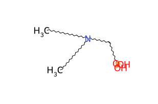 CCCCCCCCCCCCCCCCCCN(CCCCCCCC/C=C\CCCCCCCCOP(O)O)CCCCCCCCCCCCCCCCCC